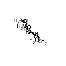 CC(C)Cc1cnc(/C=C/c2cnc(NC(=O)C(N)Cc3cn(C)cn3)s2)o1